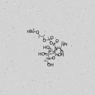 CCCCOCCOC(=O)OC(=O)N(C(=O)CCC)[C@H]1C(O)O[C@H](CO)[C@@H](O)[C@@H]1O